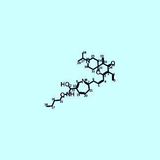 C=CC1=C(/C=C\CC2=NC=C(C(O)NOCCCC)C=CC2)OC2(CCN(C(C)C)CC2)C(=C)C1=O